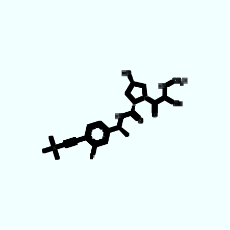 C[C@H](NC(=O)[C@@H]1C[C@@H](O)CN1C(=O)C(NC(=O)O)C(C)(C)C)c1ccc(C#C[Si](C)(C)C)c(F)c1